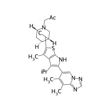 CC(=O)CN1C[C@@H]2CC[C@H]1C[C@@H]2c1sc2[nH]c(-c3cn4ncnc4c(C)c3C)c(C(C)C)c2c1C